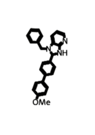 COc1ccc(-c2ccc(C3Nc4ncccc4N3Cc3ccccc3)cc2)cc1